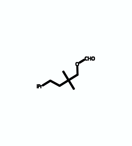 CC(C)CCC(C)(C)COC=O